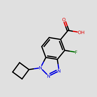 O=C(O)c1ccc2c(nnn2C2CCC2)c1F